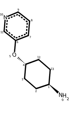 N[C@H]1CC[C@H](Oc2cccnc2)CC1